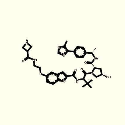 Cc1ncsc1-c1ccc([C@H](C)NC(=O)[C@@H]2C[C@@H](O)CN2C(=O)C(NC(=O)c2cc3cc(OCCNC(=O)C4CNC4)ccc3o2)C(C)(C)C)cc1